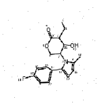 CCC1C(=O)OCC(n2c(C)ccc2-c2ccc(F)cc2)C1O